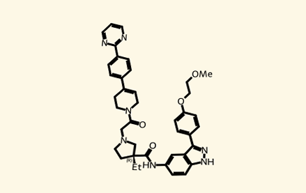 CC[C@@]1(C(=O)Nc2ccc3[nH]nc(-c4ccc(OCCOC)cc4)c3c2)CCN(CC(=O)N2CC=C(c3ccc(-c4ncccn4)cc3)CC2)C1